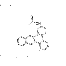 CC(=O)O.c1ccc2cc3c4ccccc4c4ccccc4c3cc2c1